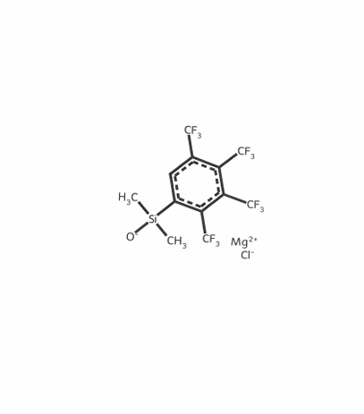 C[Si](C)([O-])c1cc(C(F)(F)F)c(C(F)(F)F)c(C(F)(F)F)c1C(F)(F)F.[Cl-].[Mg+2]